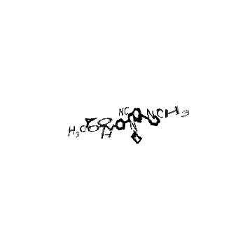 Cc1cccc(-c2ccc3c(C#N)c(-c4ccc(NC(=O)O[C@H](C)C5CC5)cc4)n(C4CCC4)c3c2)n1